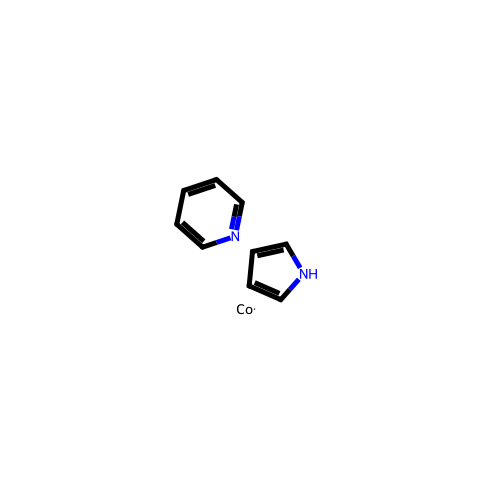 [Co].c1cc[nH]c1.c1ccncc1